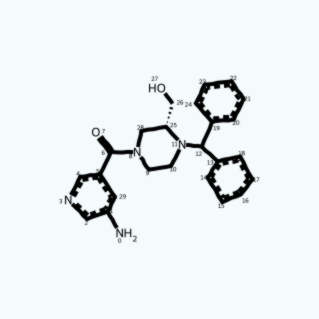 Nc1cncc(C(=O)N2CCN(C(c3ccccc3)c3ccccc3)[C@@H](CO)C2)c1